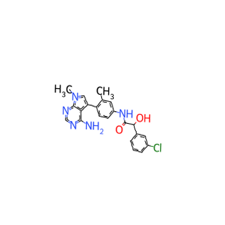 Cc1cc(NC(=O)C(O)c2cccc(Cl)c2)ccc1-c1cn(C)c2ncnc(N)c12